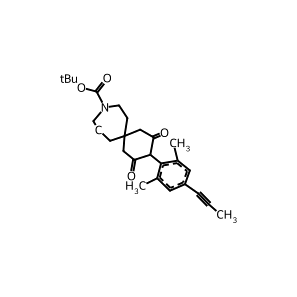 CC#Cc1cc(C)c(C2C(=O)CC3(CCCN(C(=O)OC(C)(C)C)CC3)CC2=O)c(C)c1